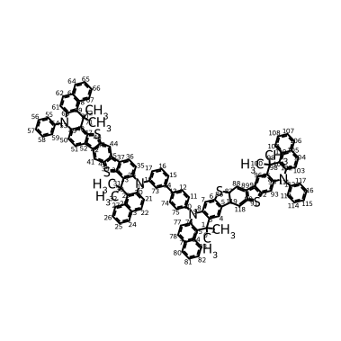 CC1(C)c2cc3c(cc2N(c2ccc(-c4cccc(N5c6ccc7ccccc7c6C(C)(C)c6c5ccc5c6sc6cc7c(cc65)sc5c6c(ccc57)N(c5ccccc5)c5ccc7ccccc7c5C6(C)C)c4)cc2)c2ccc4ccccc4c21)SC1C=c2c(sc4cc5c(cc24)C(C)(C)c2c(ccc4ccccc24)N5c2ccccc2)=CC31